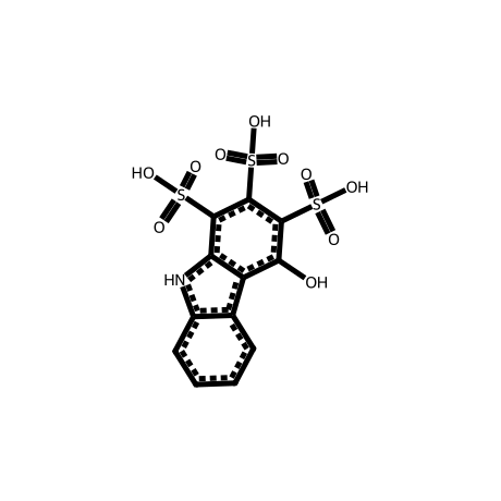 O=S(=O)(O)c1c(S(=O)(=O)O)c(O)c2c([nH]c3ccccc32)c1S(=O)(=O)O